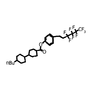 CCCCC1CCC(C2CCC(C(=O)Oc3ccc(CCC(F)(F)C(F)(F)C(F)(F)C(F)(F)F)cc3)CC2)CC1